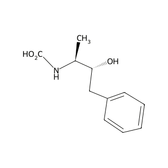 C[C@H](NC(=O)O)[C@H](O)Cc1ccccc1